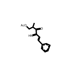 CC(=O)OCC(C)C(=O)C(=N)C=Cc1ccccc1